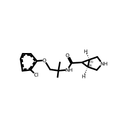 CC(C)(COc1ccccc1Cl)NC(=O)C1[C@H]2CNC[C@@H]12